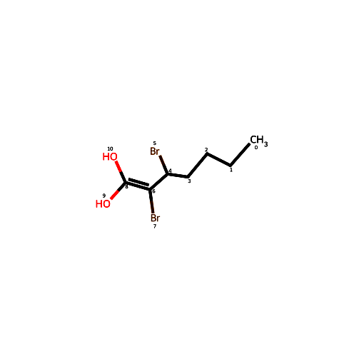 CCCCC(Br)C(Br)=C(O)O